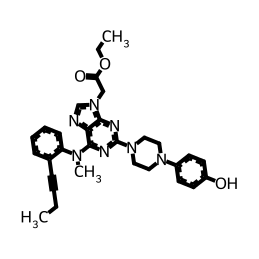 CCC#Cc1ccccc1N(C)c1nc(N2CCN(c3ccc(O)cc3)CC2)nc2c1ncn2CC(=O)OCC